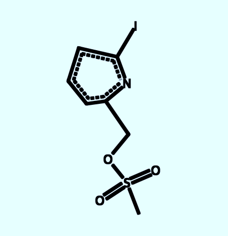 CS(=O)(=O)OCc1cccc(I)n1